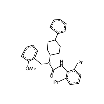 COc1ccccc1CN(C(=O)Nc1c(C(C)C)cccc1C(C)C)C1CCC(c2ccccc2)CC1